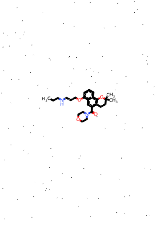 CCCNCCCOc1cccc2c3c(c(C(=O)N4CCOCC4)cc12)CCC(C)(C)O3